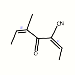 C/C=C(/C)C(=O)/C(C#N)=C\C